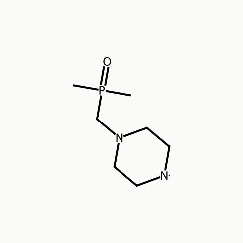 CP(C)(=O)CN1CC[N]CC1